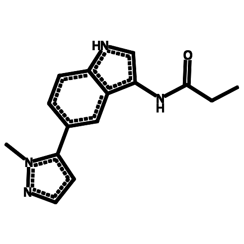 CCC(=O)Nc1c[nH]c2ccc(-c3ccnn3C)cc12